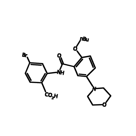 CCCCOc1ccc(N2CCOCC2)cc1C(=O)Nc1cc(Br)ccc1C(=O)O